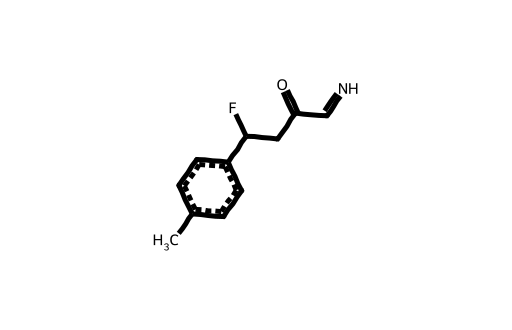 Cc1ccc(C(F)CC(=O)C=N)cc1